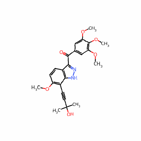 COc1cc(C(=O)c2n[nH]c3c(C#CC(C)(C)O)c(OC)ccc23)cc(OC)c1OC